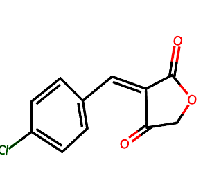 O=C1COC(=O)C1=Cc1ccc(Cl)cc1